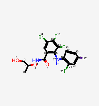 CC(CO)ONC(=O)c1cc(Br)c(F)c(F)c1Nc1ccc(I)cc1F